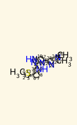 Cc1ccc(-c2cccc3[nH]c(-c4n[nH]c5ccc(-c6cncc(CN(C)C)c6)nc45)cc23)s1